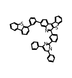 c1ccc(-c2cc(-c3ccccc3)nc(-c3cccc(-c4nc5cc(-c6cccc(-c7cccc8c7sc7ccccc78)c6)ccc5c5c4sc4ccccc45)c3)n2)cc1